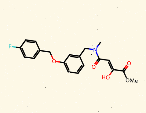 COC(=O)/C(O)=C/C(=O)N(C)Cc1cccc(OCc2ccc(F)cc2)c1